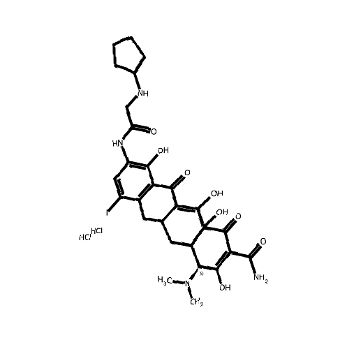 CN(C)[C@@H]1C(O)=C(C(N)=O)C(=O)C2(O)C(O)=C3C(=O)c4c(O)c(NC(=O)CNC5CCCC5)cc(I)c4CC3CC12.Cl.Cl